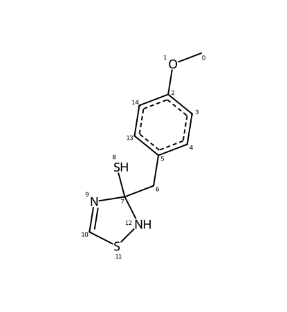 COc1ccc(CC2(S)N=CSN2)cc1